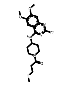 COCCC(=O)N1CCC(Nc2nc(Cl)nc3cc(OC)c(OC)cc23)CC1